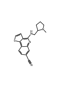 CN1CCCC1CNc1nc2cc(C#N)ccc2c2sccc12